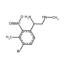 CNCC(N)c1ccc(Br)c(C)c1[N+](=O)[O-]